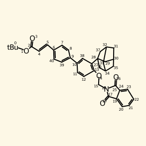 CC(C)(C)OC(=O)/C=C/c1ccc(-c2ccc(OCN3C(=O)c4ccccc4C3=O)c(C34CC5CC(CC(C5)C3)C4)c2)cc1